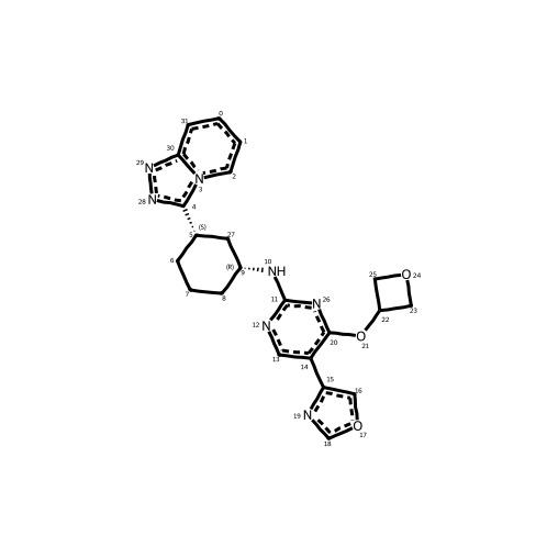 c1ccn2c([C@H]3CCC[C@@H](Nc4ncc(-c5cocn5)c(OC5COC5)n4)C3)nnc2c1